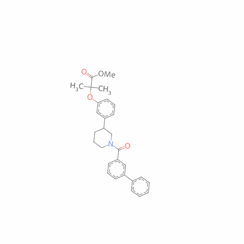 COC(=O)C(C)(C)Oc1cccc(C2CCCN(C(=O)c3cccc(-c4ccccc4)c3)C2)c1